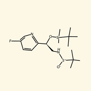 CC(C)(C)[S+]([O-])NC[C@H](O[Si](C)(C)C(C)(C)C)c1ccc(F)cn1